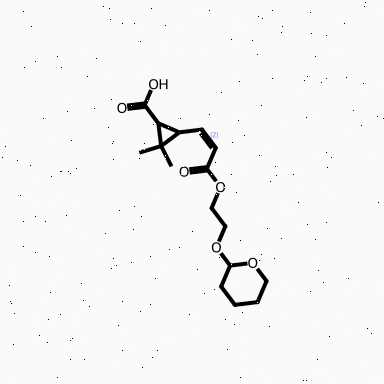 CC1(C)C(/C=C\C(=O)OCCOC2CCCCO2)C1C(=O)O